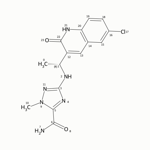 C[C@@H](Nc1nc(C(N)=O)n(C)n1)c1cc2cc(Cl)ccc2[nH]c1=O